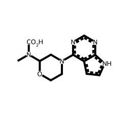 CN(C(=O)O)C1CN(c2ncnc3[nH]ccc23)CCO1